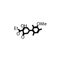 CCC(=O)C1=C(O)CC(c2c(C)cc(C)c(OC)c2C)CC1=O